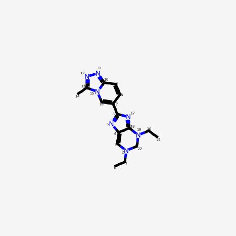 CCN1C=C2N=C(c3ccc4nnc(C)n4c3)N=C2N(CC)C1